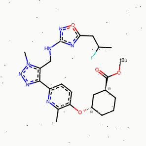 Cc1nc(-c2nnn(C)c2CNc2noc(CC(C)F)n2)ccc1O[C@H]1CCC[C@H](C(=O)OC(C)(C)C)C1